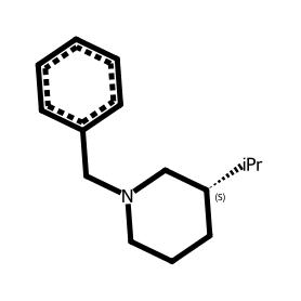 CC(C)[C@@H]1CCCN(Cc2ccccc2)C1